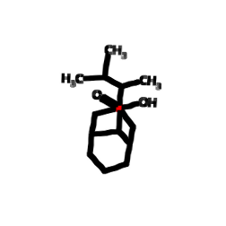 CC(C)C(C)C1CC2CCCC(C1)C2C(=O)O